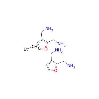 CCC.NCc1ccoc1CN.NCc1ccoc1CN